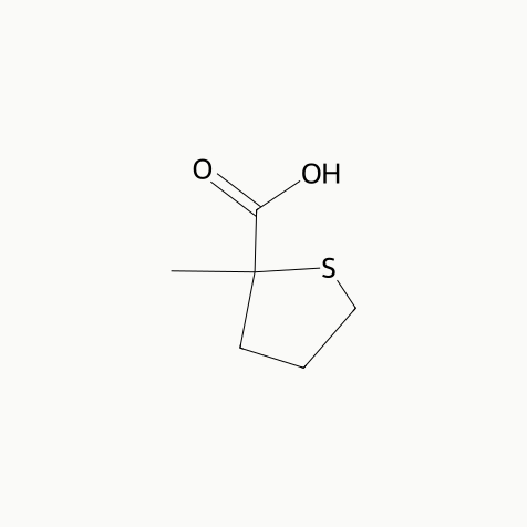 CC1(C(=O)O)CCCS1